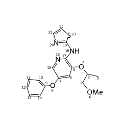 COCC(C)Oc1cc(Oc2ccccc2)cnc1Nc1nccs1